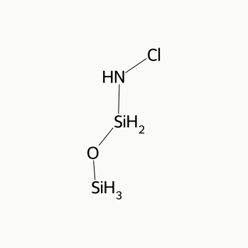 [SiH3]O[SiH2]NCl